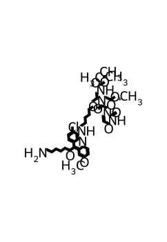 CCOC(=O)CN(C(=O)Cn1ccc(=O)[nH]c1=O)C(CNC(=O)OC(C)(C)C)COCCCCCNc1c(Cl)ccc2c(C(=O)CCCCCN)c3cc(OC)ccc3nc12